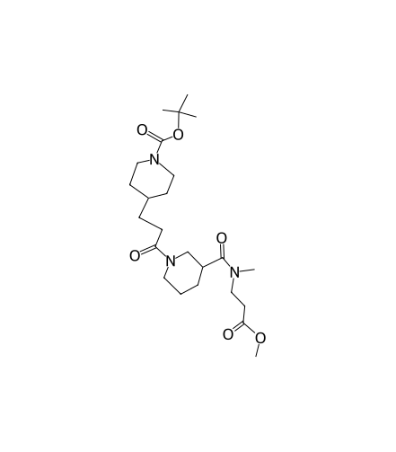 COC(=O)CCN(C)C(=O)C1CCCN(C(=O)CCC2CCN(C(=O)OC(C)(C)C)CC2)C1